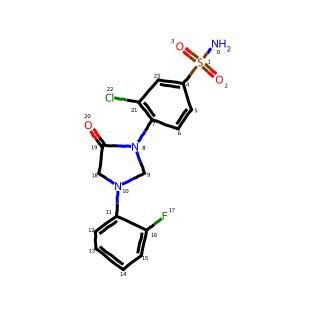 NS(=O)(=O)c1ccc(N2CN(c3ccccc3F)CC2=O)c(Cl)c1